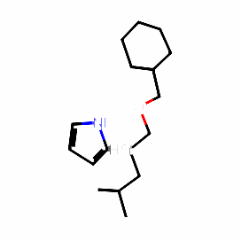 CC(C)C[SiH](COCC1CCCCC1)c1ccc[nH]1